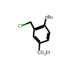 CCCCc1ccc(C(=O)OCC)cc1CCl